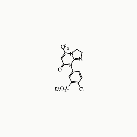 CCOC(=O)c1cc(N2C(=O)C=C(C(F)(F)F)N3CCN=C32)ccc1Cl